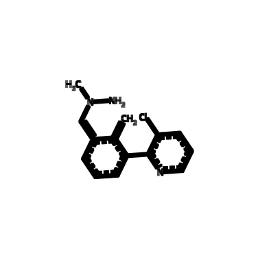 C=c1c(-c2ncccc2Cl)ccc/c1=C/N(C)N